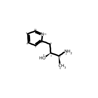 C[C@H](N)[C@@H](O)Cc1ccccn1